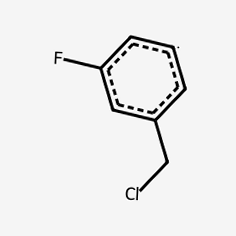 Fc1c[c]cc(CCl)c1